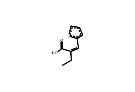 CCC(=Cc1cccs1)C(=O)O